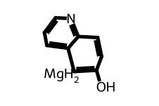 Oc1ccc2ncccc2c1.[MgH2]